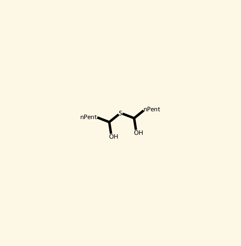 CCCCCC(O)SC(O)CCCCC